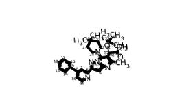 Cc1nc2cc(-c3cc(-c4ccccc4)ccn3)nn2c(N2CCC(C)(C)CC2)c1[C@H](OC(C)(C)C)C(=O)O